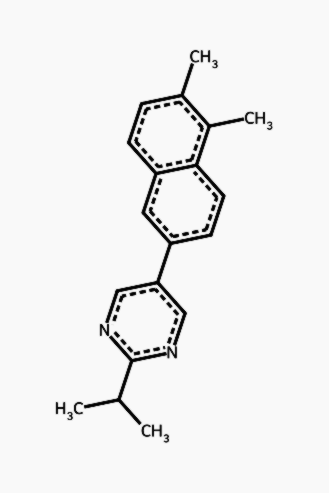 Cc1ccc2cc(-c3cnc(C(C)C)nc3)ccc2c1C